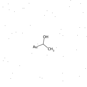 C[CH](O)[Au]